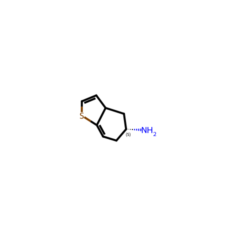 N[C@@H]1CC=C2SC=CC2C1